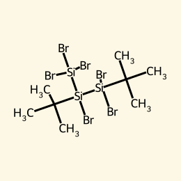 CC(C)(C)[Si](Br)(Br)[Si](Br)(C(C)(C)C)[Si](Br)(Br)Br